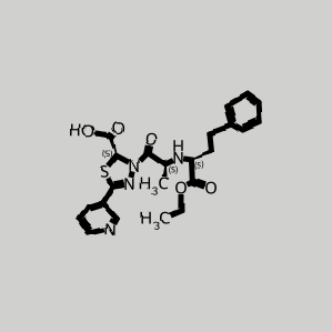 CCOC(=O)[C@H](CCc1ccccc1)N[C@@H](C)C(=O)N1N=C(c2cccnc2)S[C@H]1C(=O)O